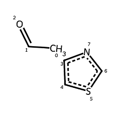 CC=O.c1cscn1